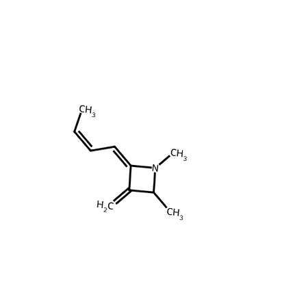 C=C1/C(=C\C=C/C)N(C)C1C